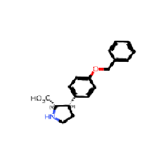 O=C(O)[C@H]1NCC[C@H]1c1ccc(OCc2ccccc2)cc1